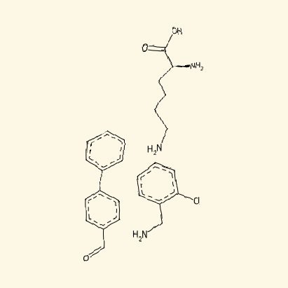 NCCCC[C@H](N)C(=O)O.NCc1ccccc1Cl.O=Cc1ccc(-c2ccccc2)cc1